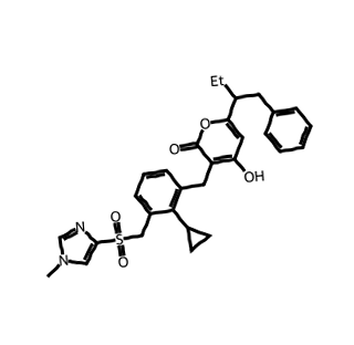 CCC(Cc1ccccc1)c1cc(O)c(Cc2cccc(CS(=O)(=O)c3cn(C)cn3)c2C2CC2)c(=O)o1